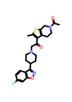 CC(=O)N1CCc2c(sc(C)c2C(=O)CN2CCC(c3noc4cc(F)ccc34)CC2)C1